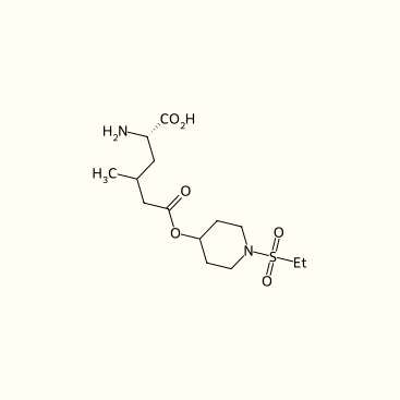 CCS(=O)(=O)N1CCC(OC(=O)CC(C)C[C@H](N)C(=O)O)CC1